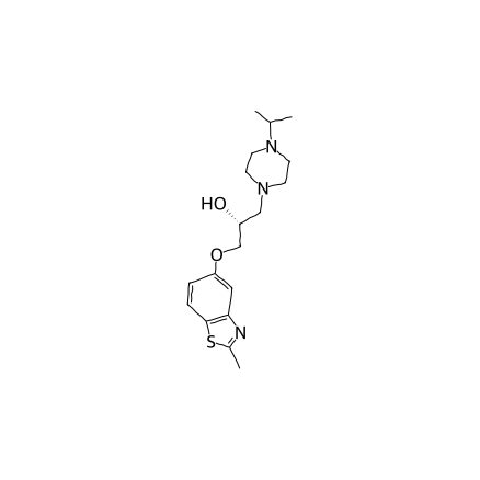 Cc1nc2cc(OC[C@H](O)CN3CCN(C(C)C)CC3)ccc2s1